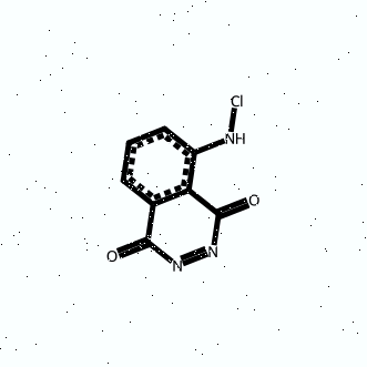 O=C1N=NC(=O)c2c(NCl)cccc21